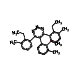 CCc1c(C)cccc1-c1nnnc(-c2cccc(C)c2CC)c1-c1cccc(C)c1CC